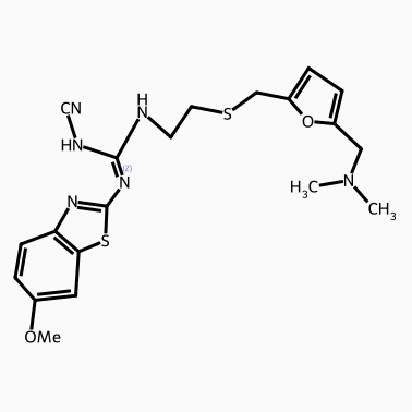 COc1ccc2nc(/N=C(\NC#N)NCCSCc3ccc(CN(C)C)o3)sc2c1